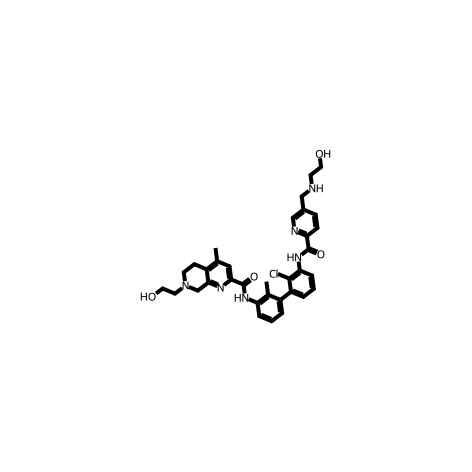 Cc1cc(C(=O)Nc2cccc(-c3cccc(NC(=O)c4ccc(CNCCO)cn4)c3Cl)c2C)nc2c1CCN(CCO)C2